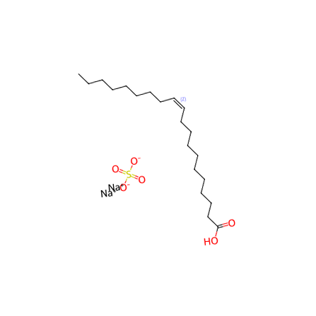 CCCCCCCC/C=C\CCCCCCCCCC(=O)O.O=S(=O)([O-])[O-].[Na+].[Na+]